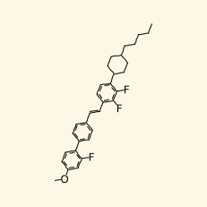 CCCCCC1CCC(c2ccc(/C=C/c3ccc(-c4ccc(OC)cc4F)cc3)c(F)c2F)CC1